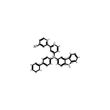 Brc1ccnc(-c2cc(N(c3ccc(C4=CC=CCC4)cc3)c3ccc4sc5ccccc5c4c3)ccn2)c1